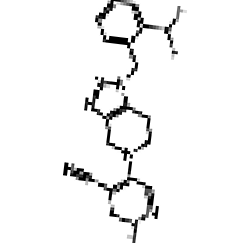 N#CC1=C(N2CCc3c(nnn3Cc3ccccc3C(F)F)C2)C=NNC1